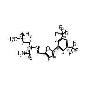 CN(C)CCN(N=Cc1ccc(-c2cc(C(F)(F)F)cc(C(F)(F)F)c2)o1)C(N)=S